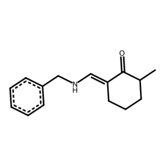 CC1CCC/C(=C\NCc2ccccc2)C1=O